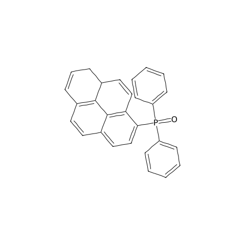 O=P(c1ccccc1)(c1ccccc1)c1ccc2ccc3c4c2c1C=CC4CC=C3